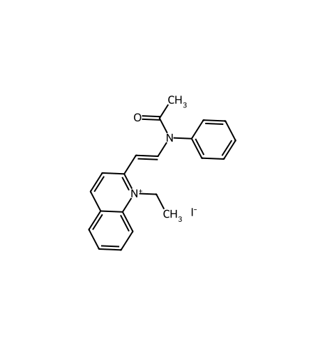 CC[n+]1c(C=CN(C(C)=O)c2ccccc2)ccc2ccccc21.[I-]